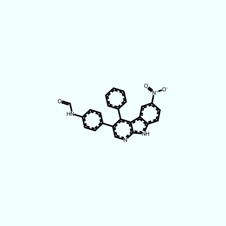 O=CNc1ccc(-c2cnc3[nH]c4ccc([N+](=O)[O-])cc4c3c2-c2ccccc2)cc1